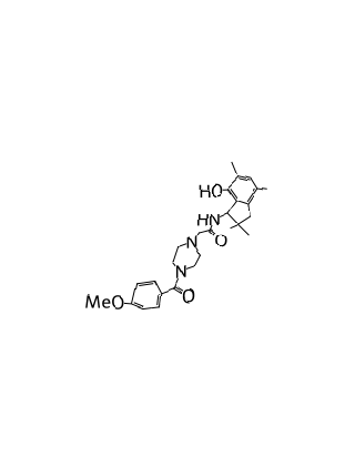 COc1ccc(C(=O)N2CCN(CC(=O)NC3c4c(O)c(C)cc(C)c4CC3(C)C)CC2)cc1